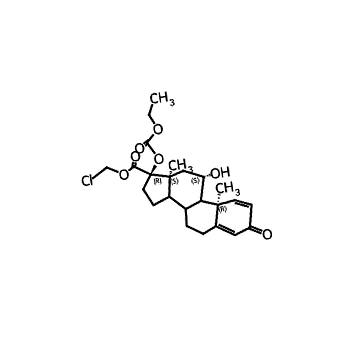 CCOC(=O)O[C@]1(C(=O)OCCl)CCC2C3CCC4=CC(=O)C=C[C@]4(C)C3[C@@H](O)C[C@@]21C